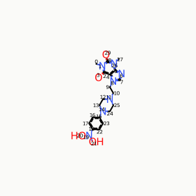 Cn1c(=O)c2c(ncn2CCN2CCN(c3ccc(N(O)O)cc3)CC2)n(C)c1=O